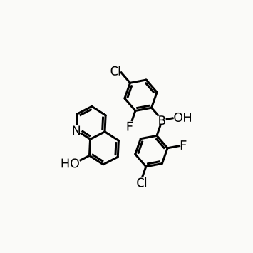 OB(c1ccc(Cl)cc1F)c1ccc(Cl)cc1F.Oc1cccc2cccnc12